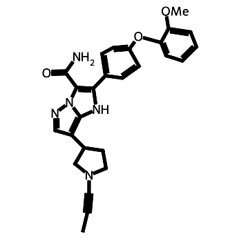 CC#CN1CCC(c2cnn3c(C(N)=O)c(-c4ccc(Oc5ccccc5OC)cc4)[nH]c23)C1